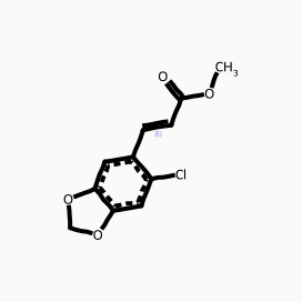 COC(=O)/C=C/c1cc2c(cc1Cl)OCO2